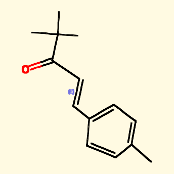 Cc1ccc(/C=C/C(=O)C(C)(C)C)cc1